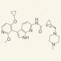 COc1nccc(OC2CC2)c1-c1c[nH]c2nc(NC(=O)[C@@H]3C[C@H]3CN3CCN(C)CC3)ccc12